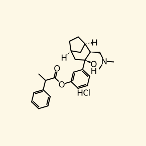 CC(C(=O)Oc1cccc([C@]2(O)C[C@H]3CC[C@H](C3)[C@H]2CN(C)C)c1)c1ccccc1.Cl